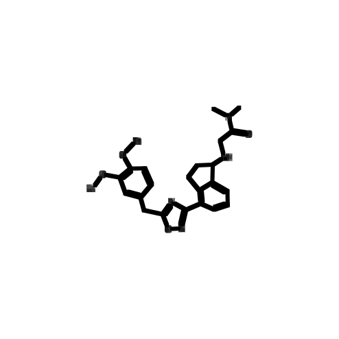 CCOc1ccc(Cc2nc(-c3cccc4c3CCC4NCC(=O)N(C)C)no2)cc1OCC